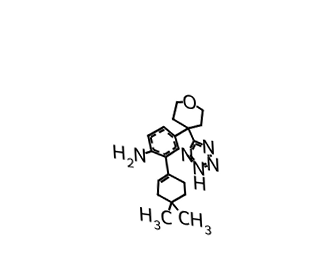 CC1(C)CC=C(c2cc(C3(c4nn[nH]n4)CCOCC3)ccc2N)CC1